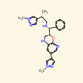 C[C@H](CN[C@H](c1ccccc1)[C@@H]1CNc2cc(-c3cnn(C)c3)cnc2O1)c1cnn(C)c1